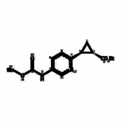 CCOC(=O)[C@H]1C[C@@H]1c1ccc(NC(=O)OC(C)(C)C)cn1